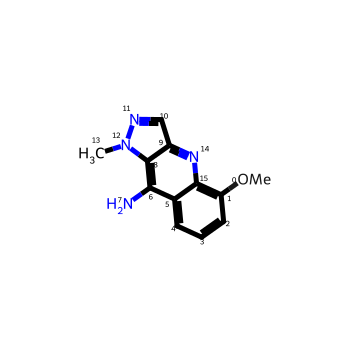 COc1cccc2c(N)c3c(cnn3C)nc12